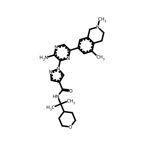 Cc1cc(-c2cnc(N)c(-n3cc(C(=O)NC(C)(C)C4CCOCC4)cn3)n2)cc2c1CCN(C)C2